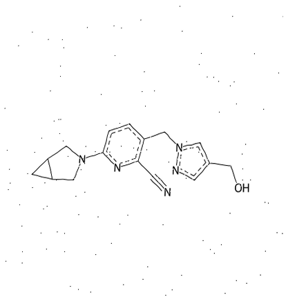 N#Cc1nc(N2CC3CC3C2)ccc1Cn1cc(CO)cn1